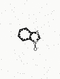 [O-][n+]1[c]sc2ccccc21